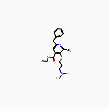 CCOC(=O)c1cc(Cc2ccccc2)nc(C)c1OCCCN(C)C